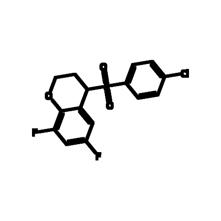 O=S(=O)(c1ccc(Cl)cc1)C1CCOc2c(F)cc(F)cc21